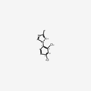 Cc1ncn(-c2ccc(Cl)cc2Cl)n1